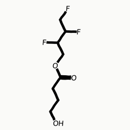 O=C(CCCO)OCC(F)C(F)CF